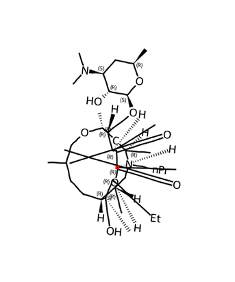 CCCN1C[C@H](C)[C@H]2CCC(C)CO[C@](C)(C[C@H]1C)[C@H](O[C@@H]1O[C@H](C)C[C@H](N(C)C)[C@H]1O)[C@@H](C)C(=O)[C@@H](C)C(=O)O[C@H](CC)[C@@]2(C)O